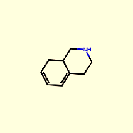 C1=CCC2CNCCC2=C1